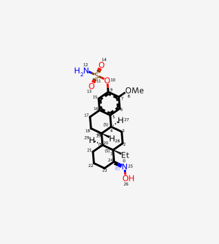 CC[C@]12CC[C@@H]3c4cc(OC)c(OS(N)(=O)=O)cc4CC[C@H]3[C@@H]1CCC/C2=N\O